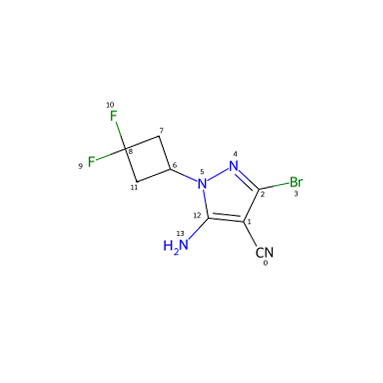 N#Cc1c(Br)nn(C2CC(F)(F)C2)c1N